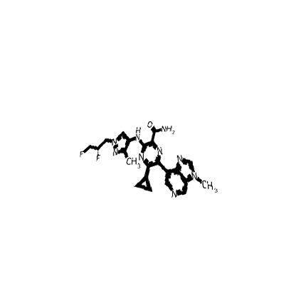 Cc1nn(C[C@H](F)CF)cc1Nc1nc(C2CC2)c(-c2cncc3c2ncn3C)nc1C(N)=O